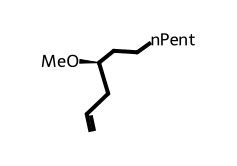 C=CC[C@H](CCCCCCC)OC